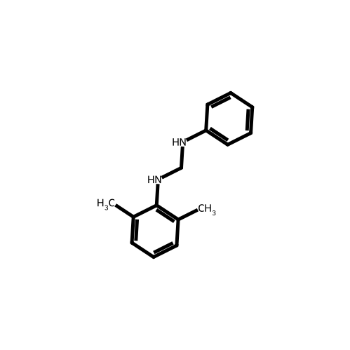 Cc1cccc(C)c1NCNc1ccccc1